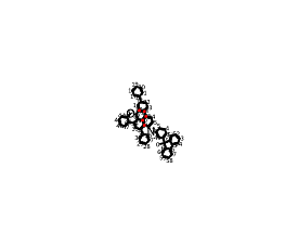 CC1(c2cccc(N(c3ccc(-c4ccc(-c5ccccc5)cc4)cc3)c3ccccc3-c3cc4c5c(cccc5c3)Oc3ccccc3-4)c2)c2ccccc2-c2ccccc21